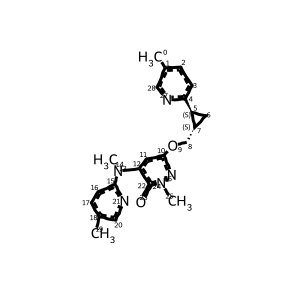 Cc1ccc([C@H]2C[C@@H]2COc2cc(N(C)c3ccc(C)cn3)c(=O)n(C)n2)nc1